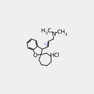 CN(C)C/C=C/C1c2ccccc2OC12CCCCCC2.Cl